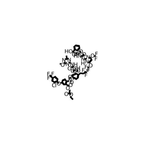 CCOC(=O)COC(=O)c1cc(Oc2ccc(C(F)(F)F)cc2Cl)ccc1[N+](=O)[O-].COc1nc(C)nc(NC(=O)NS(=O)(=O)c2ccccc2CCC(F)(F)F)n1.O=C(Nc1nc(OC(F)F)cc(OC(F)F)n1)NS(=O)(=O)c1ccccc1C(=O)O